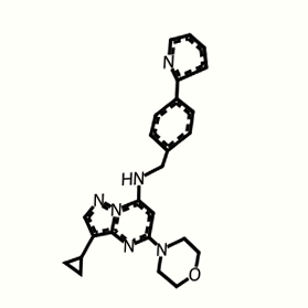 c1ccc(-c2ccc(CNc3cc(N4CCOCC4)nc4c(C5CC5)cnn34)cc2)nc1